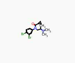 CC(CN(C(=O)C1CC1)c1ccc(Br)c(Br)c1)N(C)C